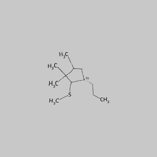 CCC[C@H]1CC(C)C(C)(C)C1SC